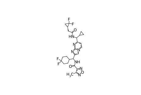 Cc1nonc1C(=O)NC(c1cn2ccc(C(NC(=O)C[C@H]3CC3(F)F)C3CC3)nc2n1)C1CCC(F)(F)CC1